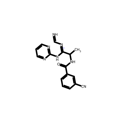 CC(NC(=O)c1cccc(C#N)c1)/C(=N/C=N)Nc1ncccn1